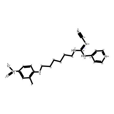 Cc1cc([N+](=O)[O-])ccc1OCCCCCCN/C(=N\C#N)Nc1ccncc1